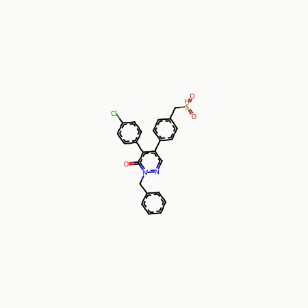 O=c1c(-c2ccc(Cl)cc2)c(-c2ccc(C[SH](=O)=O)cc2)cnn1Cc1ccccc1